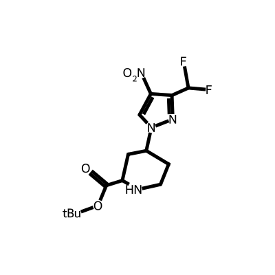 CC(C)(C)OC(=O)C1CC(n2cc([N+](=O)[O-])c(C(F)F)n2)CCN1